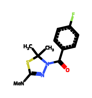 CNC1=NN(C(=O)c2ccc(F)cc2)C(C)(C)S1